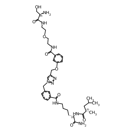 CC(C)C[C@H](C)C(=O)N[C@@H](CCCCNC(=O)c1cccc(Cn2cc(COc3cccc(C(=O)NCCOCCNC(=O)[C@H](N)CO)c3)nn2)c1)C(N)=O